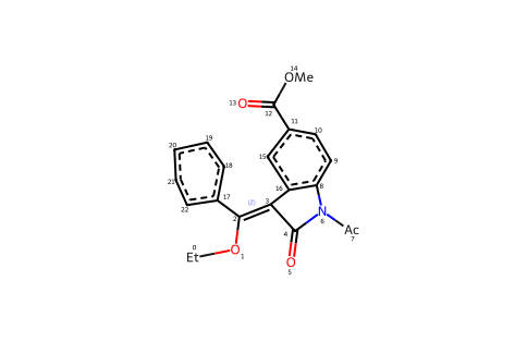 CCO/C(=C1\C(=O)N(C(C)=O)c2ccc(C(=O)OC)cc21)c1ccccc1